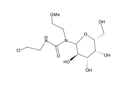 COCCN(C(=O)NCCCl)C1O[C@H](CO)[C@H](O)[C@H](O)[C@H]1O